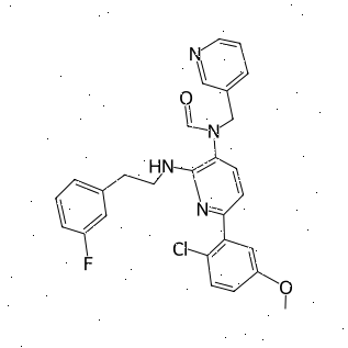 COc1ccc(Cl)c(-c2ccc(N(C=O)Cc3cccnc3)c(NCCc3cccc(F)c3)n2)c1